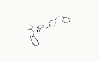 CC(c1ccc(CN2CCC(Cc3ccccc3)CC2)[nH]1)N(C)Cc1ccccc1